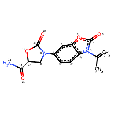 C=C(C)n1c(=O)oc2cc(N3C[C@H](C(N)=O)OC3=O)ccc21